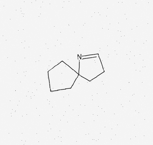 C1=NC2(CC1)CCCC2